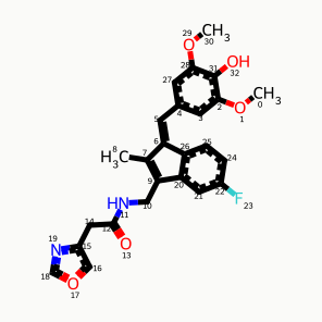 COc1cc(/C=C2/C(C)=C(CNC(=O)Cc3cocn3)c3cc(F)ccc32)cc(OC)c1O